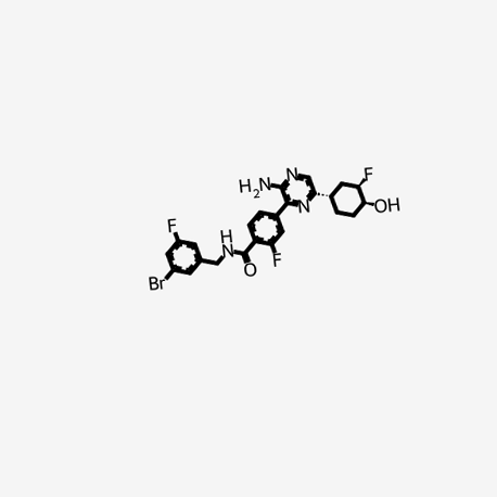 Nc1ncc([C@H]2CC[C@H](O)[C@H](F)C2)nc1-c1ccc(C(=O)NCc2cc(F)cc(Br)c2)c(F)c1